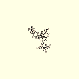 COc1ccc(C=Cc2cc(OC)c(OC)c(OC)c2)c(NS(=O)(=O)c2ccc(OC(F)(F)F)cc2)c1F